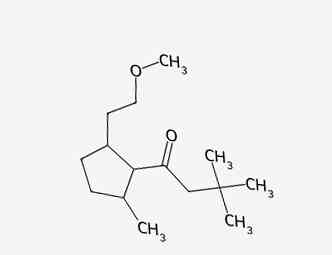 COCCC1CCC(C)C1C(=O)CC(C)(C)C